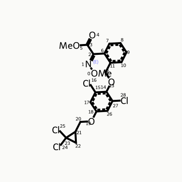 CO/N=C(/C(=O)OC)c1ccccc1COc1c(Cl)cc(OCC2CC2(Cl)Cl)cc1Cl